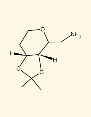 CC1(C)O[C@H]2[C@@H](CN)OCC[C@H]2O1